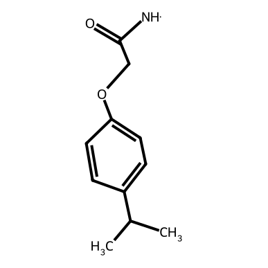 CC(C)c1ccc(OCC([NH])=O)cc1